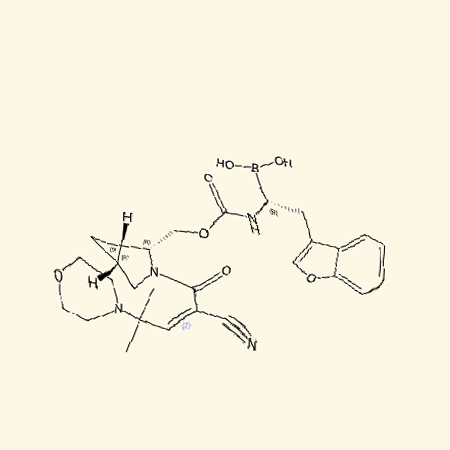 CC(C)(/C=C(/C#N)C(=O)N1C[C@@H]2C[C@@H]2[C@@H]1COC(=O)N[C@@H](Cc1coc2ccccc12)B(O)O)N1CCOCC1